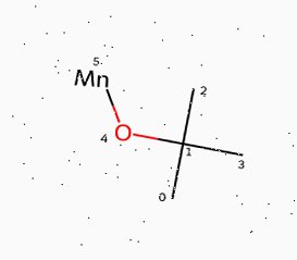 CC(C)(C)[O][Mn]